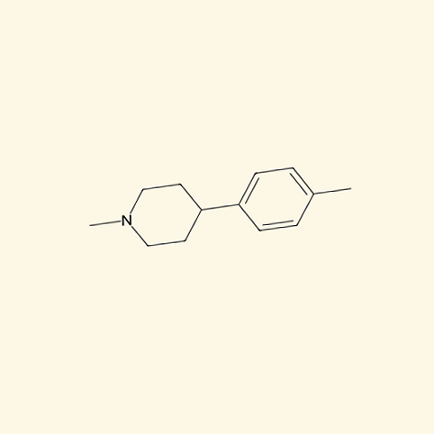 Cc1ccc(C2CCN(C)CC2)cc1